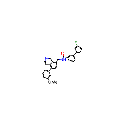 COc1cccc(-c2ccc(CNC(=O)c3cccc(-c4cccc(F)c4)c3)c3cnccc23)c1